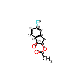 CC(=O)OC1Cc2cc(F)ccc2C1=O